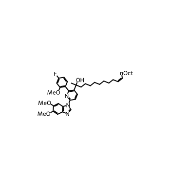 CCCCCCCC/C=C\CCCCCCCCC(C)(O)c1ccc(-n2cnc3cc(OC)c(OC)cc32)nc1-c1ccc(F)cc1OC